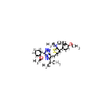 COc1ccc(-c2cc(/C=c3/c(C(C)C)nn4c(-c5ccccc5OC)nnc34)sc2N(C)C)cc1